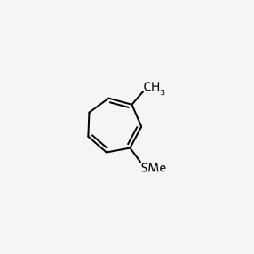 CSC1=CC(C)=CCC=C1